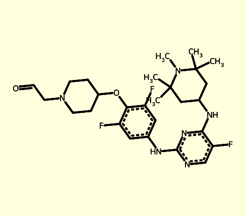 CN1C(C)(C)CC(Nc2nc(Nc3cc(F)c(OC4CCN(CC=O)CC4)c(F)c3)ncc2F)CC1(C)C